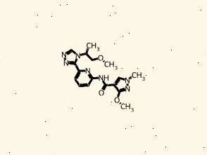 COCC(C)n1cnnc1-c1cccc(NC(=O)c2cn(C)nc2OC)n1